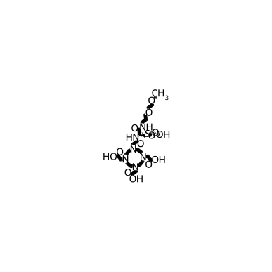 CCOCCOCCCNC(=O)[C@@H](CSOOO)NC(=O)CN1CCN(CC(=O)O)CCN(CC(=O)O)CCN(CC(=O)O)CC1